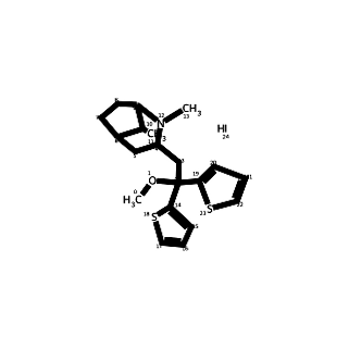 COC(CC1CC2CCC(C2C)N1C)(c1cccs1)c1cccs1.I